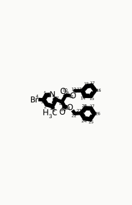 Cc1cc(Br)cnc1C(C(=O)OCc1ccccc1)C(=O)OCc1ccccc1